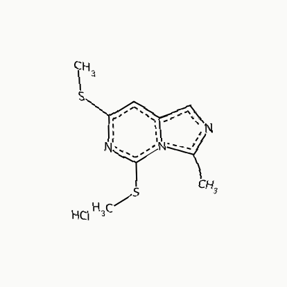 CSc1cc2cnc(C)n2c(SC)n1.Cl